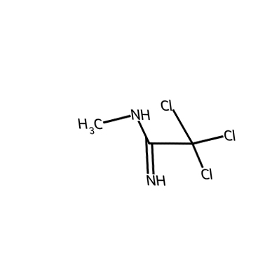 CNC(=N)C(Cl)(Cl)Cl